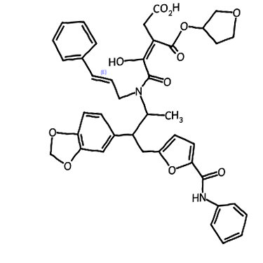 CC(C(Cc1ccc(C(=O)Nc2ccccc2)o1)c1ccc2c(c1)OCO2)N(C/C=C/c1ccccc1)C(=O)C(O)=C(CC(=O)O)C(=O)OC1CCOC1